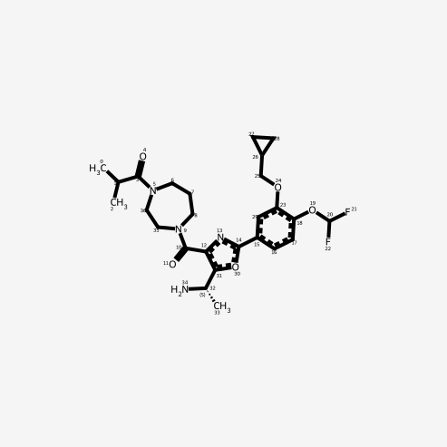 CC(C)C(=O)N1CCCN(C(=O)c2nc(-c3ccc(OC(F)F)c(OCC4CC4)c3)oc2[C@H](C)N)CC1